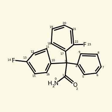 NC(=O)C(c1ccccc1)(c1ccc(F)cc1)c1ccccc1F